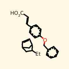 CCC1CC2C=CC1C2.O=C(O)C=Cc1ccc(OCc2ccccc2)cc1